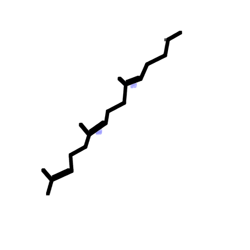 C[CH]CC/C=C(\C)CC/C=C(\C)CCC=C(C)C